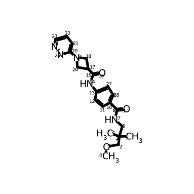 COCC(C)(C)CNC(=O)c1ccc(NC(=O)C2CN(c3cccnn3)C2)cc1